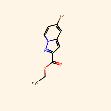 CCOC(=O)c1cc2cc(Br)ccn2n1